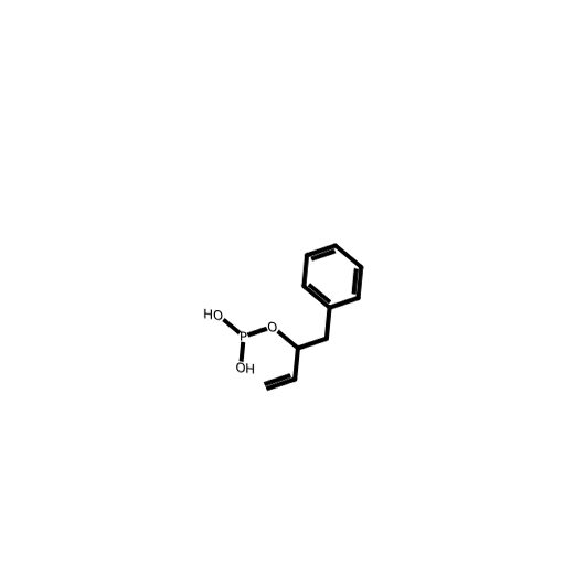 C=CC(Cc1ccccc1)OP(O)O